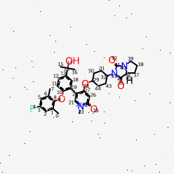 Cc1cc(F)cc(C)c1Oc1ccc(C(C)(C)O)cc1-c1cn(C)c(=O)cc1OC1CCC(N2C(=O)[C@@H]3CCCN3C2=O)CC1